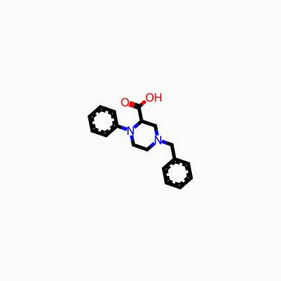 O=C(O)C1CN(Cc2ccccc2)CCN1c1ccccc1